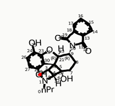 CCCN1CC2[C@@H]1[C@]1(O)CC[C@@H](N3C(=O)c4ccccc4C3=O)[C@@H]3Oc4c(O)ccc(C)c4[C@@]231